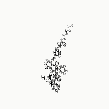 CCCCCCCCC(=O)OCCn1cc(C#Cc2cccc3cc([C@H](C)NC(=O)c4c(N)nn5cccnc45)n(-c4ccccc4)c(=O)c23)cn1